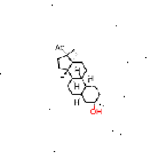 CC(=O)[C@@]1(C)CC[C@H]2[C@@H]3CC[C@@H]4C[C@](C)(O)CC[C@@H]4[C@H]3CC[C@@]21C